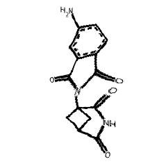 Nc1ccc2c(c1)C(=O)N(C13CC(C1)C(=O)NC3=O)C2=O